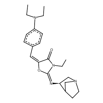 CCN1C(=O)/C(=C\c2ccc(N(CC)CC)cc2)OC1=N[C@H]1CN2CCC1C2